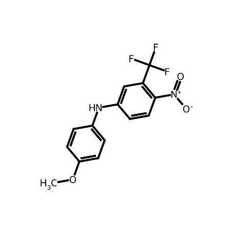 COc1ccc(Nc2ccc([N+](=O)[O-])c(C(F)(F)F)c2)cc1